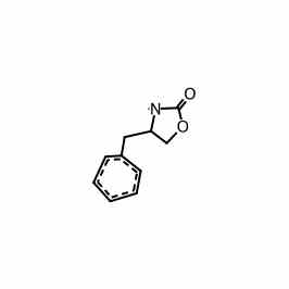 O=C1[N]C(Cc2ccccc2)CO1